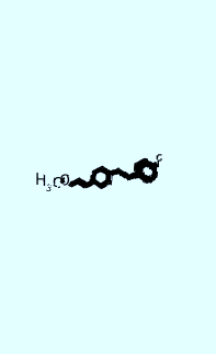 COCC=CC1CCC(CCc2ccc(F)cc2)CC1